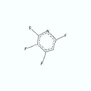 Fc1cc(F)c(F)c(F)n1